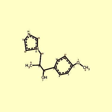 COc1ccc(C(O)C(C)Cn2ccnc2)cc1